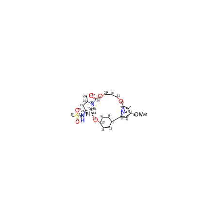 COc1cc2nc(c1)C1CCC(CC1)OC[C@H]1C(NS(C)(=O)=O)CC(C)N1C(=O)OCCCO2